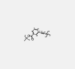 CC(C)(C)OC(=O)c1cccc(C#C[Si](C)(C)C)c1